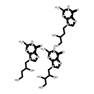 Nc1nc2c(ncn2CC(O)C(O)CO)c(=O)[nH]1.Nc1nc2c(ncn2CC(O)CCO)c(=O)[nH]1.Nc1nc2c(ncn2CCC(O)CO)c(=O)[nH]1